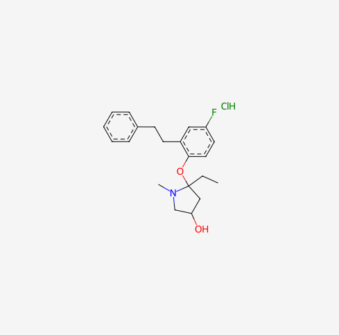 CCC1(Oc2ccc(F)cc2CCc2ccccc2)CC(O)CN1C.Cl